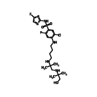 CC(C)(CO)NCC(C)(C)NCCCCNc1cc(F)c(S(=O)(=O)Nc2ncc(F)s2)cc1Cl